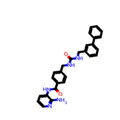 Nc1ncccc1NC(=O)c1ccc(CNC(=O)NCc2cccc(-c3ccccc3)c2)cc1